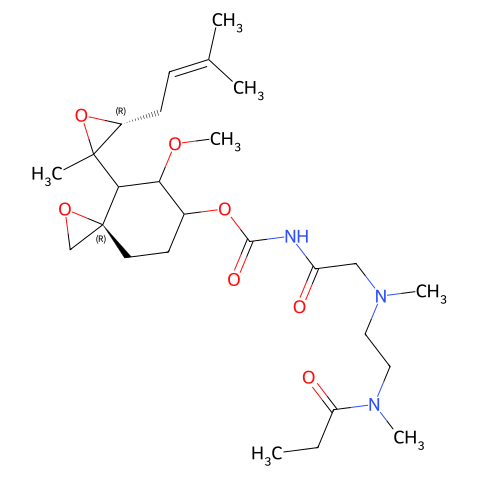 CCC(=O)N(C)CCN(C)CC(=O)NC(=O)OC1CC[C@]2(CO2)C(C2(C)O[C@@H]2CC=C(C)C)C1OC